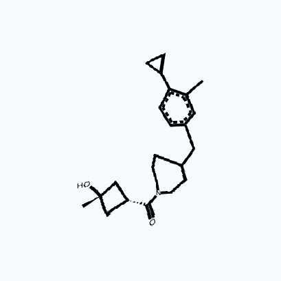 Cc1cc(CC2CCN(C(=O)[C@H]3C[C@@](C)(O)C3)CC2)ccc1C1CC1